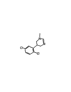 CN1C=NCC(c2cc(Cl)ccc2Cl)C1